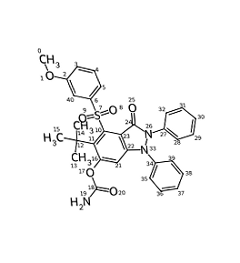 COc1cccc(S(=O)(=O)c2c(C(C)(C)C)c(OC(N)=O)cc3c2c(=O)n(-c2ccccc2)n3-c2ccccc2)c1